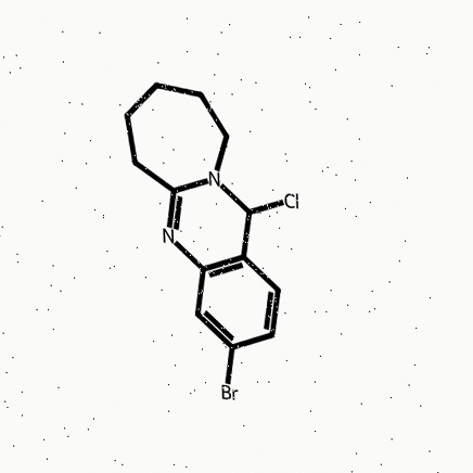 ClC1c2ccc(Br)cc2N=C2CCCCCN21